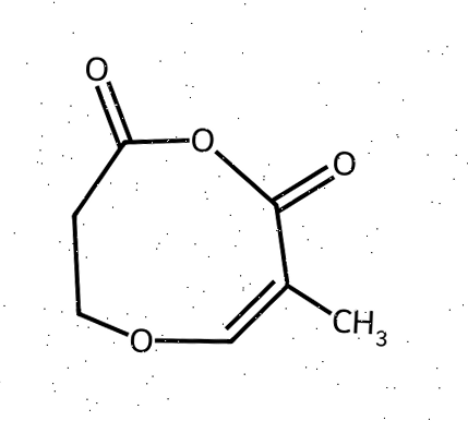 C/C1=C/OCCC(=O)OC1=O